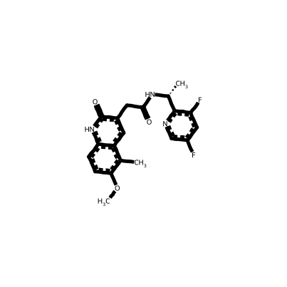 COc1ccc2[nH]c(=O)c(CC(=O)N[C@H](C)c3ncc(F)cc3F)cc2c1C